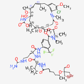 COc1cc2cc(c1Cl)N(C)C(=O)C[C@H](OC(=O)[C@H](C)N(C)C(=O)c1ccc(NC(=O)[C@H](CCCNC(N)=O)NC(=O)[C@@H](NC(=O)CCCCC(C)OC(C=O)(CBr)CBr)C(C)C)c(C(F)(F)F)c1)[C@]1(C)O[C@H]1[C@H](C)[C@@H]1C[C@@](O)(NC(=O)O1)[C@H](OC)/C=C/C=C(\C)C2